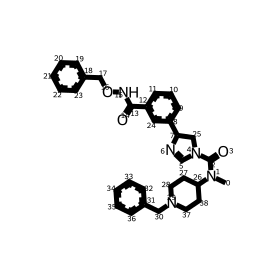 CN(C(=O)N1C=NC(c2cccc(C(=O)NOCc3ccccc3)c2)C1)C1CCN(Cc2ccccc2)CC1